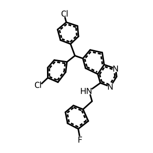 Fc1cccc(CNc2ncnc3ccc(C(c4ccc(Cl)cc4)c4ccc(Cl)cc4)cc23)c1